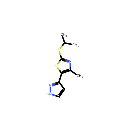 Cc1nc(SC(C)C)sc1-c1cc[nH]n1